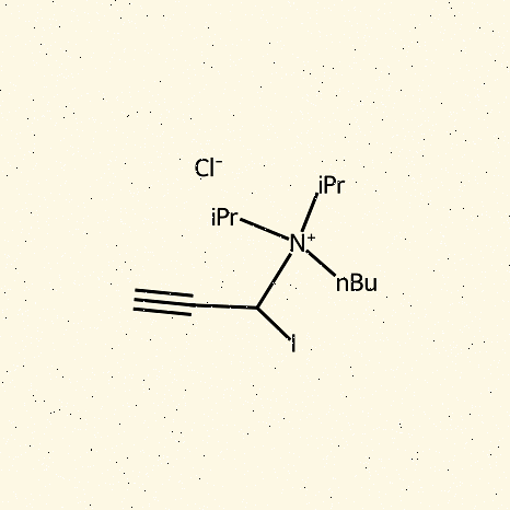 C#CC(I)[N+](CCCC)(C(C)C)C(C)C.[Cl-]